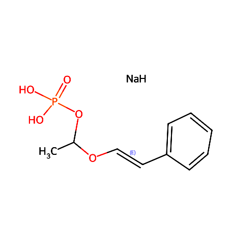 CC(O/C=C/c1ccccc1)OP(=O)(O)O.[NaH]